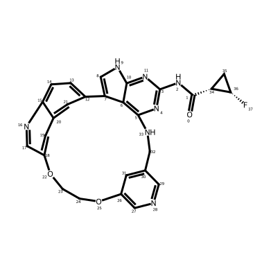 O=C(Nc1nc2c3c(c[nH]c3n1)-c1ccc3ncc(cc3c1)OCCOc1cncc(c1)CN2)[C@@H]1C[C@@H]1F